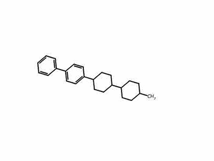 CC1CCC(C2CCC(c3ccc(-c4ccccc4)cc3)CC2)CC1